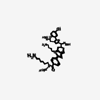 CCCCCCCN(CCCCCCN)C(=O)c1ccc(-c2cc3ccc(/C(=N\O)c4cc(CC(=O)NO)c(-c5cccc(O)c5)s4)cc3n2CCCCN)cc1